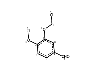 O=Cc1ccc(OCl)c(OCCl)c1